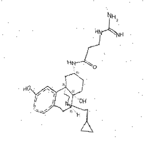 N=C(N)NCCC(=O)N[C@@H]1CC[C@@]2(O)[C@H]3Cc4ccc(O)cc4[C@@]2(CCN3CC2CC2)C1